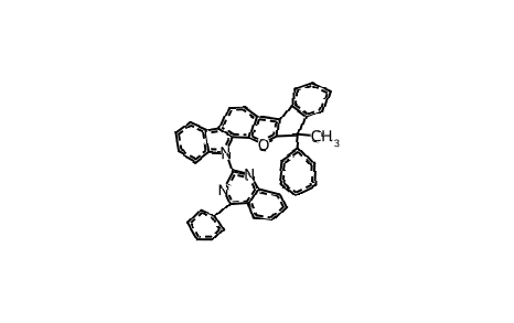 CC1(c2ccccc2)c2ccccc2-c2c1oc1c2ccc2c3ccccc3n(-c3nc(-c4ccccc4)c4ccccc4n3)c21